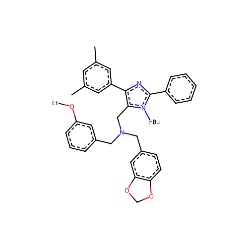 CCCCn1c(-c2ccccc2)nc(-c2cc(C)cc(C)c2)c1CN(Cc1cccc(OCC)c1)Cc1ccc2c(c1)OCO2